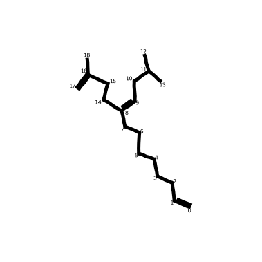 C=CCCCCCCC(=CCC(C)C)CCC(=C)C